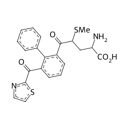 CSC(CC(N)C(=O)O)C(=O)c1cccc(C(=O)c2nccs2)c1-c1ccccc1